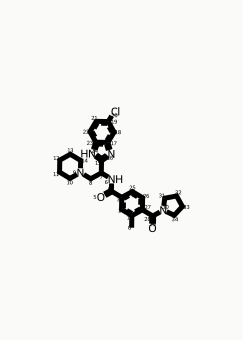 Cc1cc(C(=O)NC(CN2CCCCC2)c2nc3cc(Cl)ccc3[nH]2)ccc1C(=O)N1CCCC1